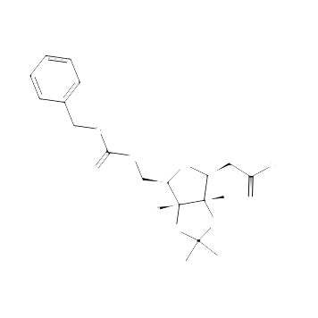 CC1(C)O[C@@H]2[C@H](O1)[C@@H](COC(=O)NCc1ccccc1)O[C@H]2CC(N)=O